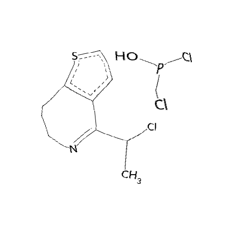 CC(Cl)C1=NCCc2sccc21.OP(Cl)Cl